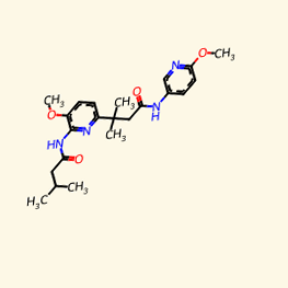 COc1ccc(NC(=O)CC(C)(C)c2ccc(OC)c(NC(=O)CC(C)C)n2)cn1